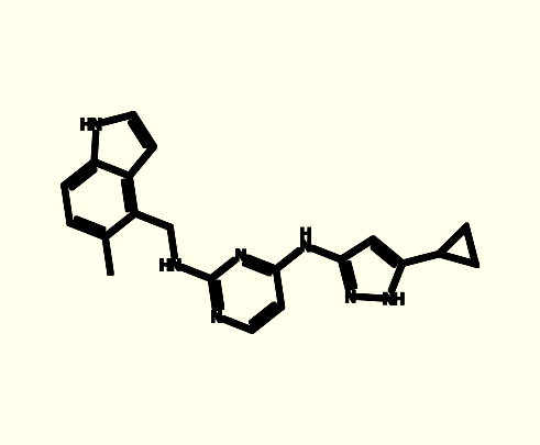 Cc1ccc2[nH]ccc2c1CNc1nccc(Nc2cc(C3CC3)[nH]n2)n1